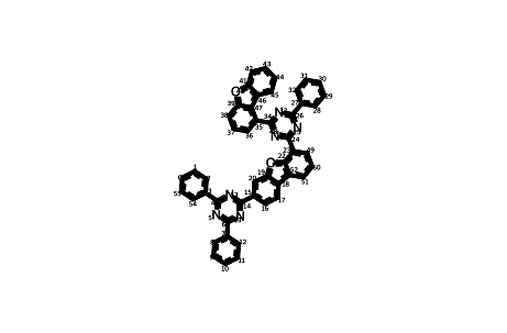 c1ccc(-c2nc(-c3ccccc3)nc(-c3ccc4c(c3)oc3c(-c5nc(-c6ccccc6)nc(-c6cccc7oc8ccccc8c67)n5)cccc34)n2)cc1